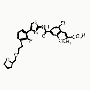 C/C(=C\c1c(Cl)cc(C(=O)Nc2nc(-c3cccc(CCCOCC4CCCO4)c3F)cs2)cc1Cl)C(=O)O